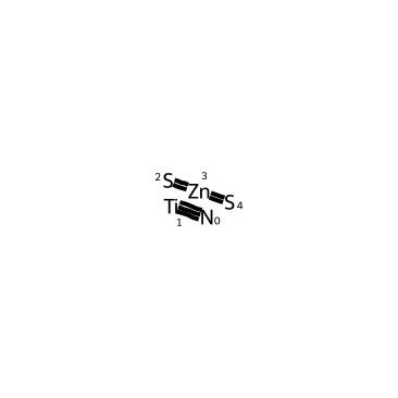 [N]#[Ti].[S]=[Zn]=[S]